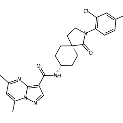 Cc1cc(C)n2ncc(C(=O)N[C@H]3CC[C@@]4(CCN(c5ccc(F)cc5Cl)C4=O)CC3)c2n1